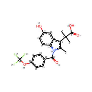 Cc1c(C(C)(C)C(=O)O)c2cc(O)ccc2n1C(=O)c1ccc(OC(F)(F)F)cc1